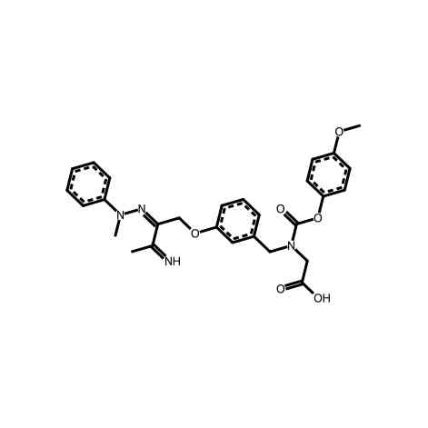 COc1ccc(OC(=O)N(CC(=O)O)Cc2cccc(OC/C(=N/N(C)c3ccccc3)C(C)=N)c2)cc1